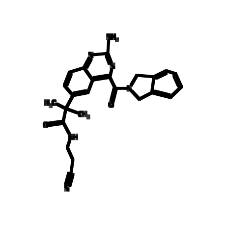 CC(C)(C(=O)NCCC#N)c1ccc2nc(N)nc(C(=O)N3Cc4ccccc4C3)c2c1